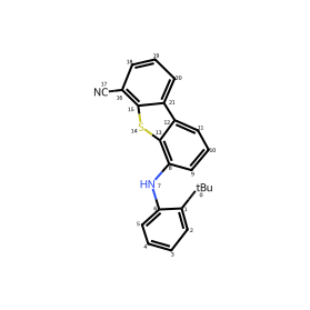 CC(C)(C)c1ccccc1Nc1cccc2c1sc1c(C#N)cccc12